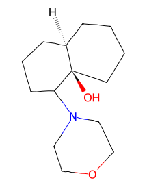 O[C@]12CCCC[C@@H]1CCCC2N1CCOCC1